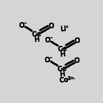 [Co+2].[Li+].[O]=[GeH][O-].[O]=[GeH][O-].[O]=[GeH][O-]